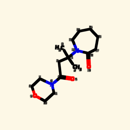 CC(C)(CC(=O)N1CCOCC1)N1CCCCCC1=O